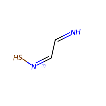 N=C/C=N\S